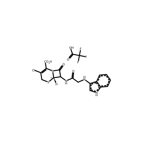 O=C(CNc1c[nH]c2ccccc12)NC1C(=O)N2C(C(=O)O)=C(Cl)CS[C@@H]12.O=C(O)C(F)(F)F